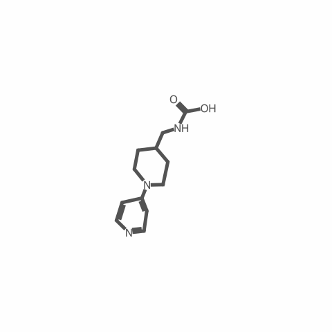 O=C(O)NCC1CCN(c2ccncc2)CC1